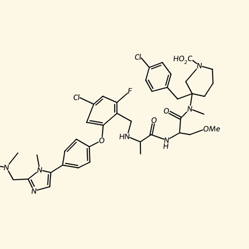 COCC(NC(=O)C(C)NCc1c(F)cc(Cl)cc1Oc1ccc(-c2cnc(CN(C)C)n2C)cc1)C(=O)N(C)C1(Cc2ccc(Cl)cc2)CCCN(C(=O)O)C1